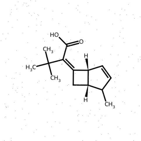 CC1C=C[C@H]2C(=C(C(=O)O)C(C)(C)C)C[C@@H]12